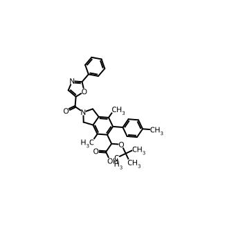 Cc1ccc(-c2c(C)c3c(c(C)c2C(OC(C)(C)C)C(=O)O)CN(C(=O)c2cnc(-c4ccccc4)o2)C3)cc1